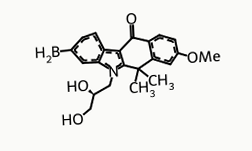 Bc1ccc2c3c(n(C[C@H](O)CO)c2c1)C(C)(C)c1cc(OC)ccc1C3=O